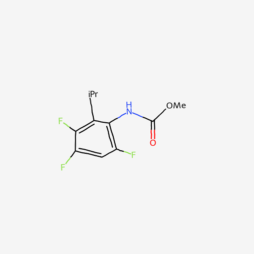 COC(=O)Nc1c(F)cc(F)c(F)c1C(C)C